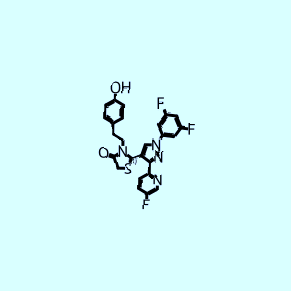 O=C1CS[C@H](c2cn(-c3cc(F)cc(F)c3)nc2-c2ccc(F)cn2)N1CCc1ccc(O)cc1